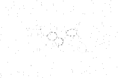 COC(=O)Nc1ccc2c(-c3nc(N[C@H]4CCCNC4)ncc3C(F)(F)F)c[nH]c2c1C(C)(C)O